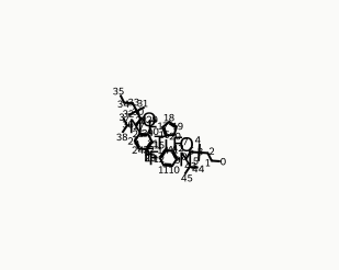 CCCC(C)(C)C(=O)N(c1ccc(F)[c]([Ti]([C]2=CC=CC2)[c]2c(F)ccc(N(C(=O)C(C)(C)CCC)C(C)C)c2F)c1F)C(C)C